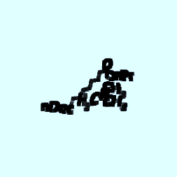 CCCCCCCCCCCCCCCCCC(=O)OCCC.CN(C)C